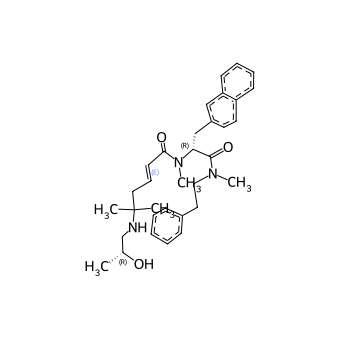 C[C@@H](O)CNC(C)(C)C/C=C/C(=O)N(C)[C@H](Cc1ccc2ccccc2c1)C(=O)N(C)CCc1ccccc1